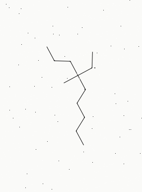 C[CH]C(C)(CCC)CCCCC